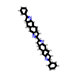 c1ccc(C2=Nc3cc4cc5c(cc4cc3C2)N=C(C2=Nc3cc4cc6c(cc4cc3C2)N=C(c2ccccc2)C6)C5)cc1